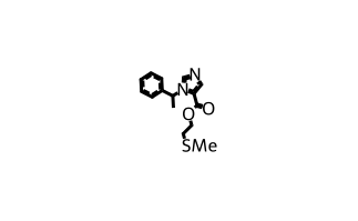 CSCCOC(=O)c1cncn1C(C)c1ccccc1